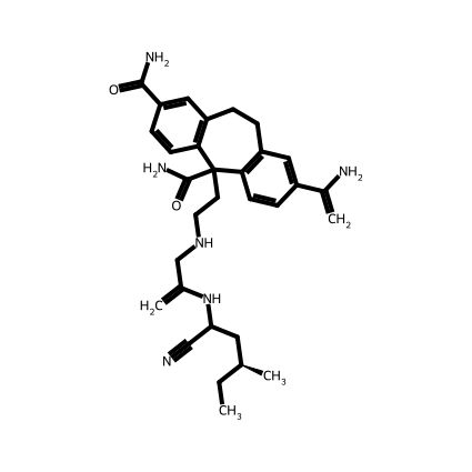 C=C(CNCCC1(C(N)=O)c2ccc(C(=C)N)cc2CCc2cc(C(N)=O)ccc21)NC(C#N)C[C@@H](C)CC